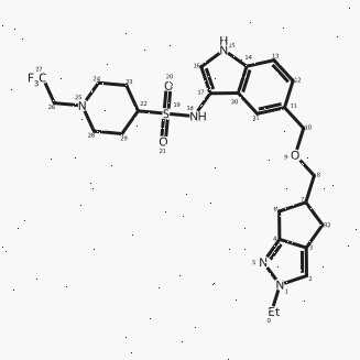 CCn1cc2c(n1)CC(COCc1ccc3[nH]cc(NS(=O)(=O)C4CCN(CC(F)(F)F)CC4)c3c1)C2